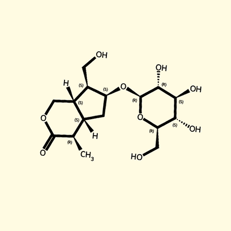 C[C@H]1C(=O)OC[C@@H]2[C@@H](CO)[C@@H](O[C@@H]3O[C@H](CO)[C@@H](O)[C@H](O)[C@H]3O)C[C@@H]21